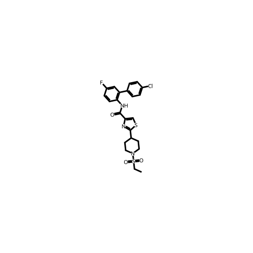 CCS(=O)(=O)N1CCC(c2nc(C(=O)Nc3ccc(F)cc3-c3ccc(Cl)cc3)cs2)CC1